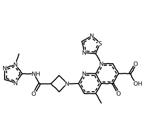 Cc1cc(N2CC(C(=O)Nc3ncnn3C)C2)nc2c1c(=O)c(C(=O)O)cn2-c1ncns1